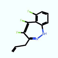 C=CCC1=NNc2cccc(F)c2C(F)=C1F